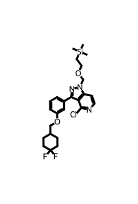 C[Si](C)(C)CCOCn1nc(-c2cccc(OCC3CCC(F)(F)CC3)c2)c2c(Cl)nccc21